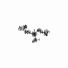 CN(C)CCOC(=O)NCCCCCCn1c(=O)n(CCCCCCNC(=O)OCCOC(=O)CCc2cc(-n3nc4ccccc4n3)c(O)c(C(C)(C)C)c2)c(=O)n(CCCCCCNC(=O)OCCOC(=O)CCc2cc(-n3nc4ccccc4n3)c(O)c(C(C)(C)C)c2)c1=O